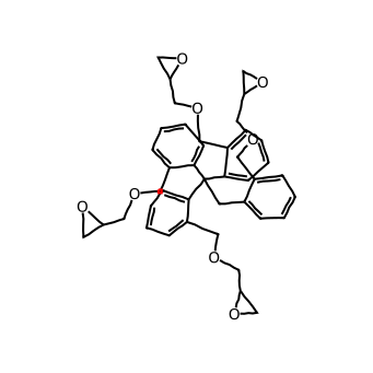 c1ccc(CC(c2ccccc2COCC2CO2)(c2ccccc2COCC2CO2)c2ccccc2COCC2CO2)c(COCC2CO2)c1